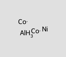 [AlH3].[Co].[Co].[Ni]